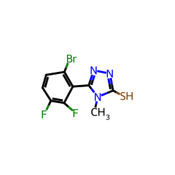 Cn1c(S)nnc1-c1c(Br)ccc(F)c1F